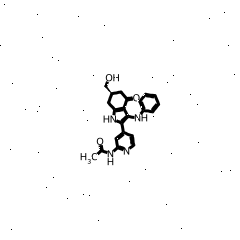 CC(=O)Nc1cc(-c2[nH]c3c(c2Nc2ccccc2)C(=O)C[C@H](CO)C3)ccn1